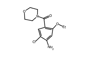 CCOc1cc(N)c(Cl)cc1C(=O)N1CCOCC1